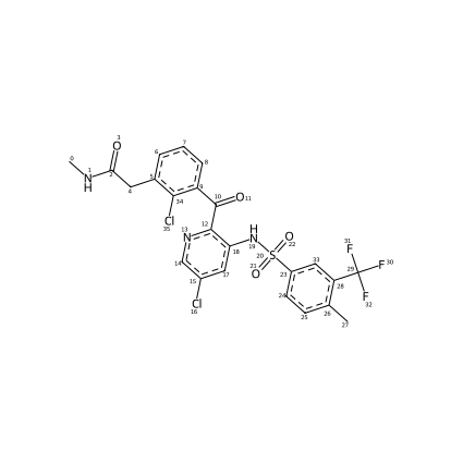 CNC(=O)Cc1cccc(C(=O)c2ncc(Cl)cc2NS(=O)(=O)c2ccc(C)c(C(F)(F)F)c2)c1Cl